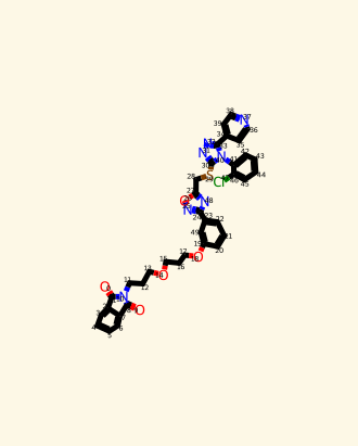 O=C1c2ccccc2C(=O)N1CCCOCCCOc1cccc(-c2noc(CSc3nnc(-c4ccncc4)n3-c3ccccc3Cl)n2)c1